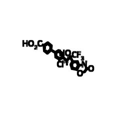 C[C@@H](c1ccc(-c2ccc(C(=O)O)cc2)cc1Cl)[C@](O)(c1ccc2c(c1)N(C)C(=O)CO2)C(F)(F)F